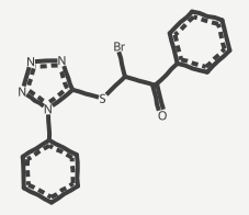 O=C(c1ccccc1)C(Br)Sc1nnnn1-c1ccccc1